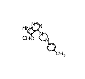 Cc1ccc(N2CCN(c3ncnc4[nH]cc(C=O)c34)CC2)cc1